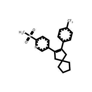 CS(=O)(=O)c1ccc(C2=C(c3ccc(C(F)(F)F)cc3)CC3(CCCC3)C2)cn1